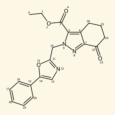 CCOC(=O)c1c2c(nn1Cc1ncc(-c3ccccc3)o1)C(=O)CCC2